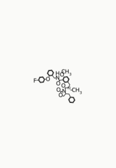 CC[C@@H](Cc1ccc(OC)c(C(=O)NCc2ccccc2Oc2ccc(F)cc2)c1)C(=O)N1C(=O)OCC1Cc1ccccc1